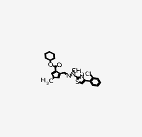 CC1C=C(/C=N/N(C)c2nc(-c3ccccc3Cl)cs2)C(C(=O)OC2CCCCC2)=C1